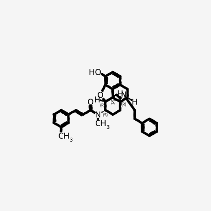 Cc1cccc(C=CC(=O)N(C)[C@H]2CC[C@H]3[C@H]4Cc5ccc(O)c6c5[C@@]3(CCN4CCc3ccccc3)[C@H]2O6)c1